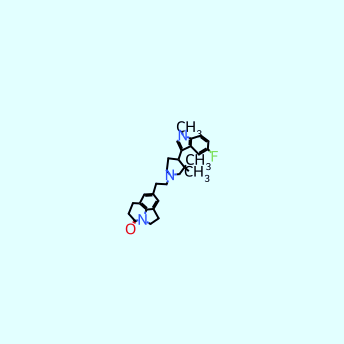 Cn1cc(C2CCN(CCc3cc4c5c(c3)CCN5C(=O)CC4)CC2(C)C)c2cc(F)ccc21